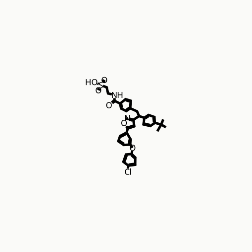 CC(C)(C)c1ccc(C(Cc2ccc(C(=O)NCCS(=O)(=O)O)cc2)c2cc(-c3cccc(Oc4ccc(Cl)cc4)c3)on2)cc1